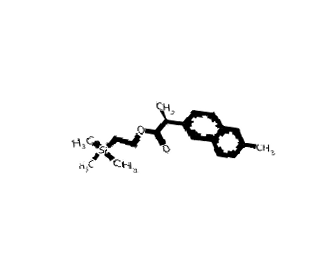 Cc1ccc2cc([C@H](C)C(=O)OCC[Si](C)(C)C)ccc2c1